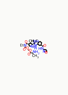 CCN(C(=O)OCOC(=O)C(C)N)C(=O)c1c[nH]c(C(=N)Nc2cc(C(=O)Nc3ccon3)ccc2C)c1C